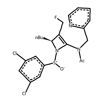 CCCC[C@H]1C(CF)=C(N(Cc2ccccn2)C(C)=O)N1[S+]([O-])c1cc(Cl)cc(Cl)c1